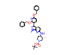 C[C@@H]1CN(C(=O)OC(C)(C)C)CC[C@H]1Nc1ccc2c(-c3ccc(OCc4ccccc4)nc3OCc3ccccc3)nn(C)c2n1